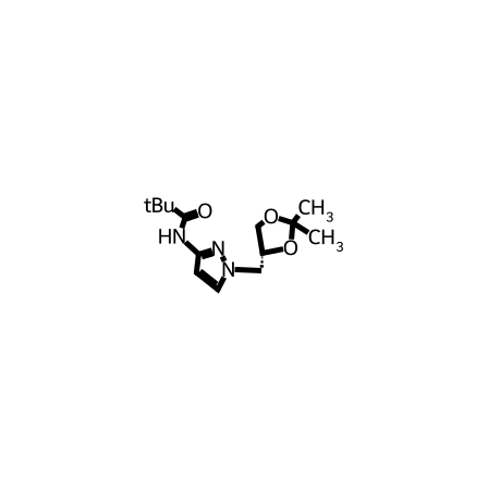 CC1(C)OC[C@@H](Cn2ccc(NC(=O)C(C)(C)C)n2)O1